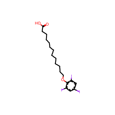 O=C(O)CCCCCCCCCCCCOc1c(I)cc(I)cc1I